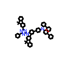 CC1(C)c2ccccc2-c2ccc(-c3nc(-c4ccccc4)nc(-n4c5ccc(-c6ccc(N(c7ccc(-c8ccccc8)cc7)c7ccccc7-c7ccccc7)cc6)cc5c5cc6c(cc54)C(C)(C)c4ccccc4-6)n3)cc21